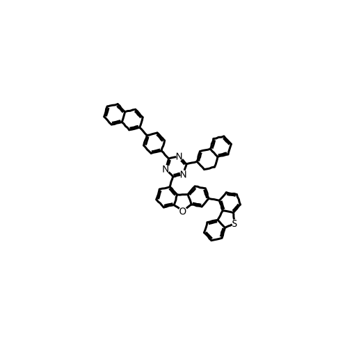 C1=C(c2nc(-c3ccc(-c4ccc5ccccc5c4)cc3)nc(-c3cccc4oc5cc(-c6cccc7sc8ccccc8c67)ccc5c34)n2)CCc2ccccc21